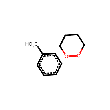 C1CCOOC1.O=C(O)c1ccccc1